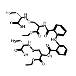 CCOC(=O)C(CON[C@@H](CS)C(=O)S)NC(=O)c1ccccc1Nc1ccccc1C(=O)NC(CSN[C@@H](CS)C(=O)S)C(=O)OCC